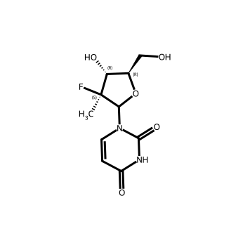 C[C@@]1(F)C(n2ccc(=O)[nH]c2=O)O[C@H](CO)[C@H]1O